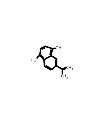 C=C(C)c1ccc2c(O)ccc(O)c2c1